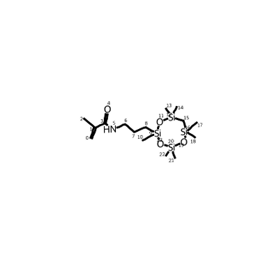 C=C(C)C(=O)NCCC[Si]1(C)O[Si](C)(C)C[Si](C)(C)O[Si](C)(C)O1